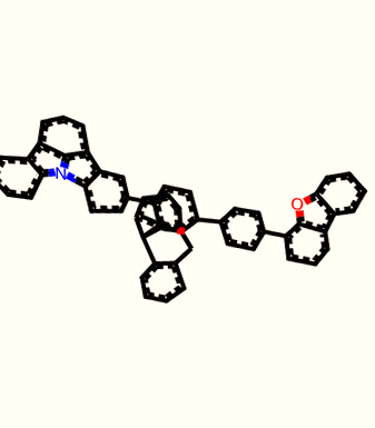 c1ccc2c(c1)C1c3cccc4c3C24c2c(-c3ccc4c(c3)c3cccc5c6ccccc6n4c53)ccc(-c3ccc(-c4cccc5c4oc4ccccc45)cc3)c21